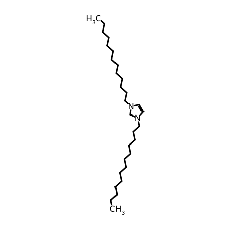 CCCCCCCCCCCCCN1C=CN(CCCCCCCCCCCCC)C1